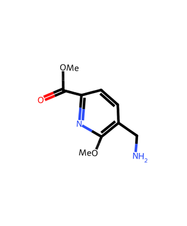 COC(=O)c1ccc(CN)c(OC)n1